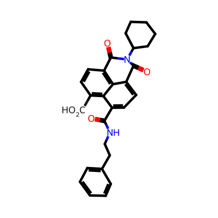 O=C(O)c1ccc2c3c(ccc(C(=O)NCCc4ccccc4)c13)C(=O)N(C1CCCCC1)C2=O